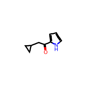 O=C(CC1CC1)c1ccc[nH]1